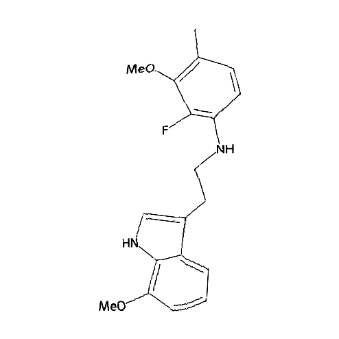 COc1c(C)ccc(NCCc2c[nH]c3c(OC)cccc23)c1F